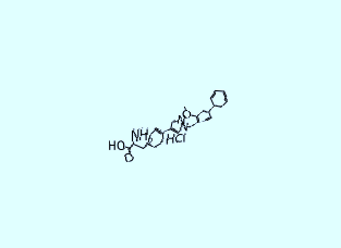 COc1cc(-c2ccccc2)ccc1Cn1cc(C2=CCC(CC(N)C(=O)O)CC2)cn1.Cl